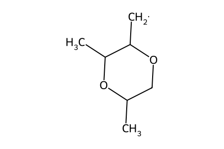 [CH2]C1OCC(C)OC1C